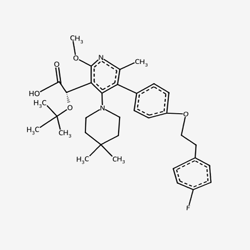 COc1nc(C)c(-c2ccc(OCCc3ccc(F)cc3)cc2)c(N2CCC(C)(C)CC2)c1[C@H](OC(C)(C)C)C(=O)O